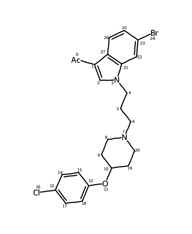 CC(=O)c1cn(CCCN2CCC(Oc3ccc(Cl)cc3)CC2)c2cc(Br)ccc12